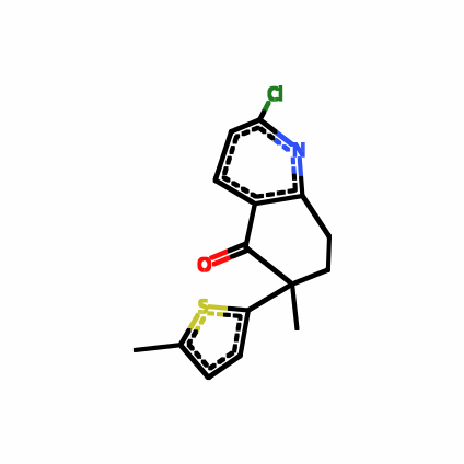 Cc1ccc(C2(C)CCc3nc(Cl)ccc3C2=O)s1